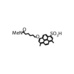 CNC(=O)CCCCCOc1cc(C)c2ccc3c(C)cc(S(=O)(=O)O)c4ccc1c2c34